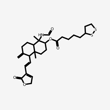 C=C1CCC2C(C)(CCC(OC(=O)CCCCC3CCSS3)C2(C)NC=O)C1/C=C/C1=CCOC1=O